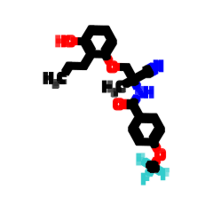 CCCc1c(O)cccc1OCC(C)(C#N)NC(=O)c1ccc(OC(F)(F)F)cc1